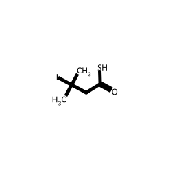 CC(C)(I)CC(=O)S